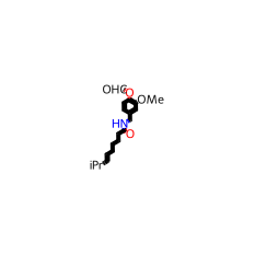 COc1cc(CNC(=O)CCCC/C=C/C(C)C)ccc1OC=O